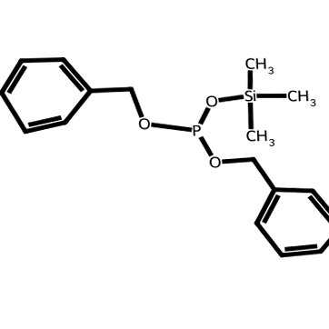 C[Si](C)(C)OP(OCc1ccccc1)OCc1ccccc1